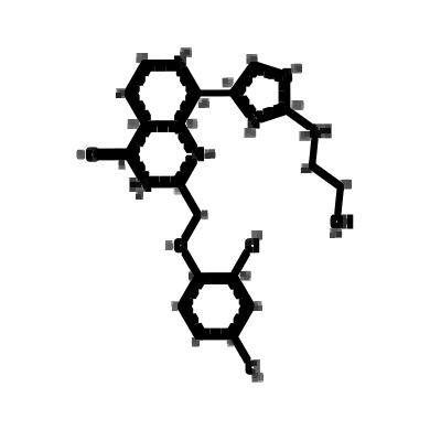 O=c1[nH]c(COc2ccc(Cl)cc2Cl)nc2c(-c3csc(NCCO)n3)nccc12